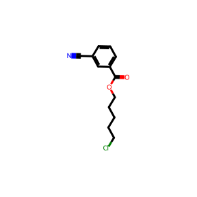 N#Cc1cccc(C(=O)OCCCCCCl)c1